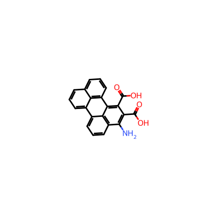 Nc1c(C(=O)O)c(C(=O)O)c2c3cccc4cccc(c5cccc1c52)c43